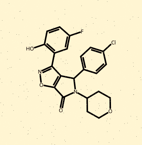 O=C1c2onc(-c3cc(F)ccc3O)c2C(c2ccc(Cl)cc2)N1C1CCOCC1